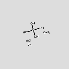 Cl.O[Si](O)(O)O.[CaH2].[Zn]